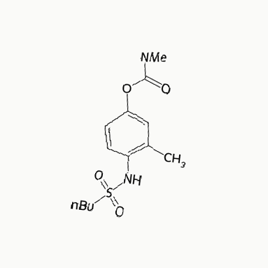 CCCCS(=O)(=O)Nc1ccc(OC(=O)NC)cc1C